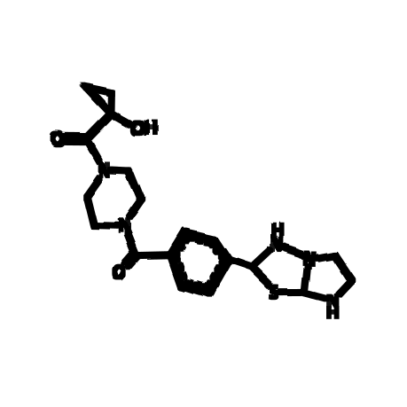 O=C(c1ccc(C2NN3CCNC3S2)cc1)N1CCN(C(=O)C2(O)CC2)CC1